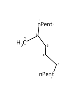 CCCC[CH]C(C)CCCCCCCC